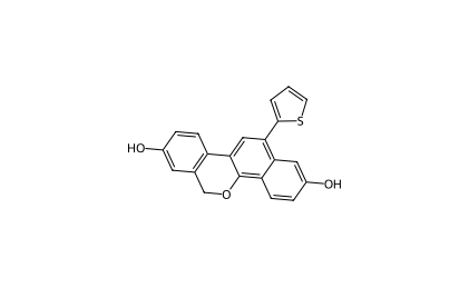 Oc1ccc2c(c1)COc1c-2cc(-c2cccs2)c2cc(O)ccc12